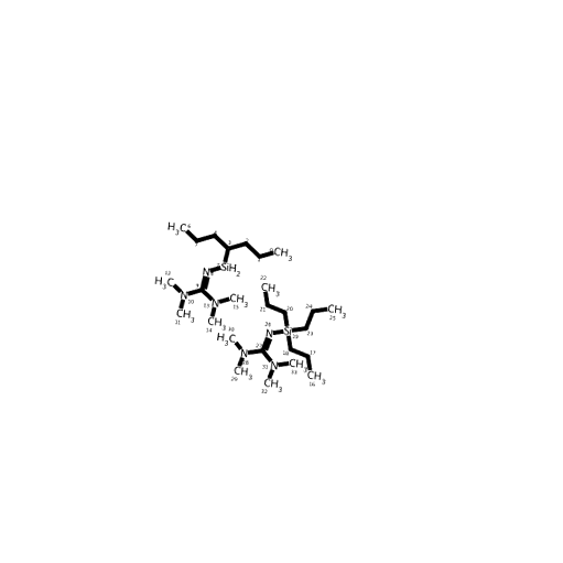 CCCC(CCC)[SiH2]N=C(N(C)C)N(C)C.CCC[Si](CCC)(CCC)N=C(N(C)C)N(C)C